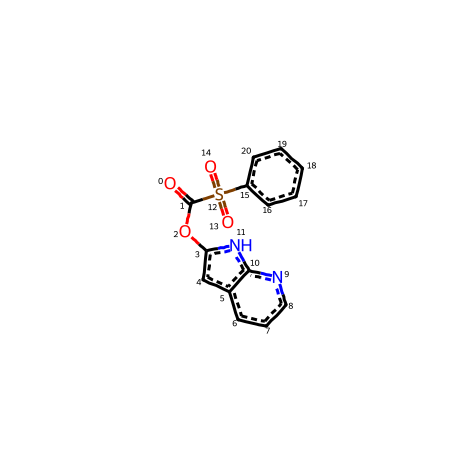 O=C(Oc1cc2cccnc2[nH]1)S(=O)(=O)c1ccccc1